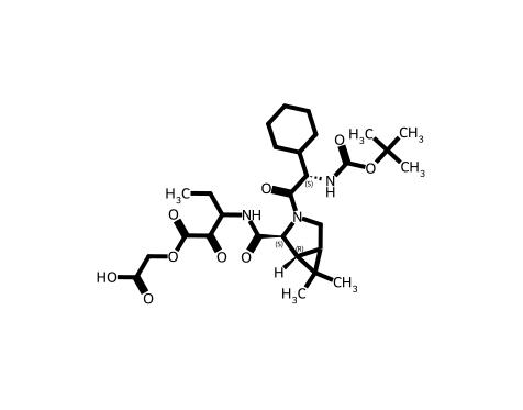 CCC(NC(=O)[C@@H]1[C@@H]2C(CN1C(=O)[C@@H](NC(=O)OC(C)(C)C)C1CCCCC1)C2(C)C)C(=O)C(=O)OCC(=O)O